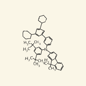 CC(C)(C)c1cc(N(c2cccc(-c3cc(C4CCCCC4)cc(C4CCCCC4)c3)c2)c2ccc3c(c2)C(C)(C)c2ccccc2-3)cc(C(C)(C)C)c1